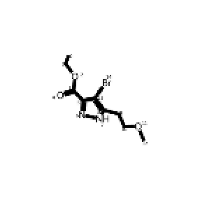 CCOC(=O)c1n[nH]c(CCOC)c1Br